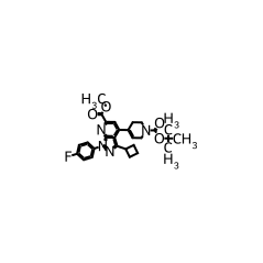 COC(=O)c1cc(C2=CCN(C(=O)OC(C)(C)C)CC2)c2c(C3CCC3)nn(-c3ccc(F)cc3)c2n1